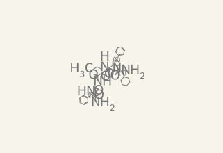 CCCC(NC(=O)C1C[C@@H](c2ccccc2)CN1C(=O)[C@@H](N)C1CCCCC1)C(=O)C(=O)NCC(=O)N[C@H](C(N)=O)c1ccccc1